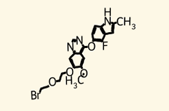 COc1cc2c(Oc3ccc4[nH]c(C)cc4c3F)ncnc2cc1OCCOCCBr